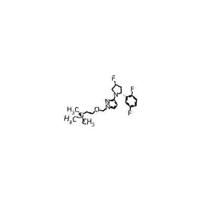 C[Si](C)(C)CCOCn1ccc(N2C[C@@H](F)C[C@@H]2c2cc(F)ccc2F)n1